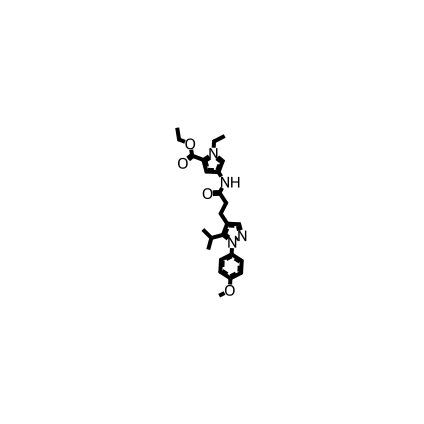 CCOC(=O)c1cc(NC(=O)CCc2cnn(-c3ccc(OC)cc3)c2C(C)C)cn1CC